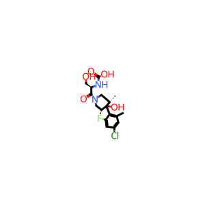 Cc1cc(Cl)cc(F)c1C1(O)[C@H](C)CN(C(=O)[C@@H](CO)NC(=O)O)C[C@@H]1C